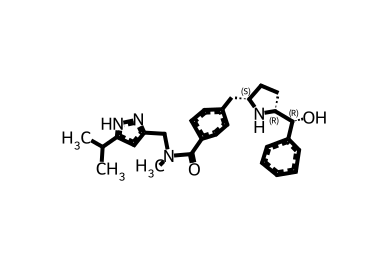 CC(C)c1cc(CN(C)C(=O)c2ccc(C[C@@H]3CC[C@H]([C@H](O)c4ccccc4)N3)cc2)n[nH]1